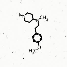 COc1ccc(CCN(C)C2CCN(I)CC2)cc1